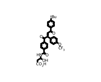 CC(C)(C)c1ccc(C(=O)C=C(C(=O)c2ccc(C(=O)NC(O)CC(=O)O)cc2)c2ccc(OC(F)(F)F)cc2)cc1